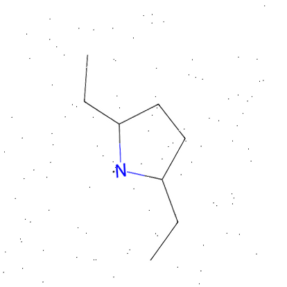 CCC1CCC(CC)[N]1